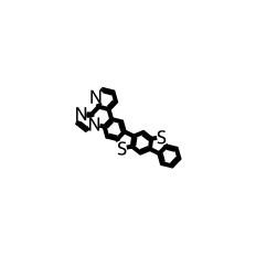 c1ccc2c(c1)sc1cc3c(cc12)sc1cc2c(cc13)c1cccnc1c1nccn21